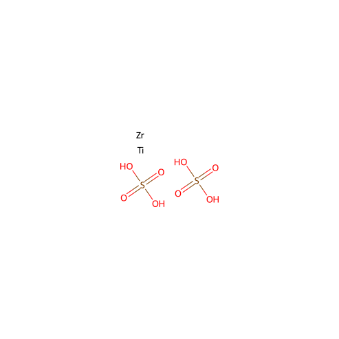 O=S(=O)(O)O.O=S(=O)(O)O.[Ti].[Zr]